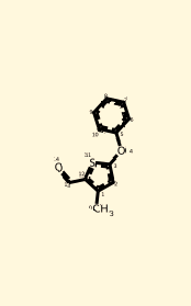 Cc1cc(Oc2ccccc2)sc1C=O